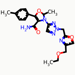 CCOCc1coc(Cn2ncc(N3C(C(N)=O)=C(c4ccc(C)cc4)OC3C)n2)n1